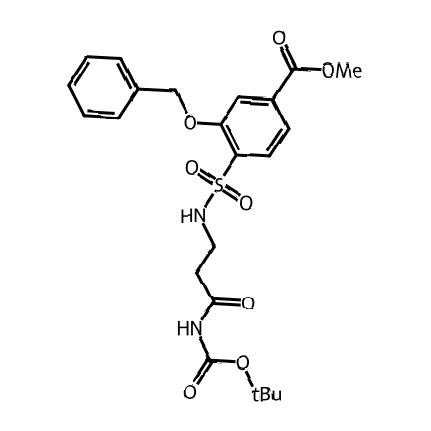 COC(=O)c1ccc(S(=O)(=O)NCCC(=O)NC(=O)OC(C)(C)C)c(OCc2ccccc2)c1